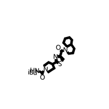 CCC(C)NC(=O)N1CCC(c2nc(C(=O)N3CCCC4CCCCC43)cs2)CC1